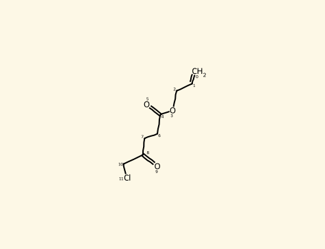 C=CCOC(=O)CCC(=O)CCl